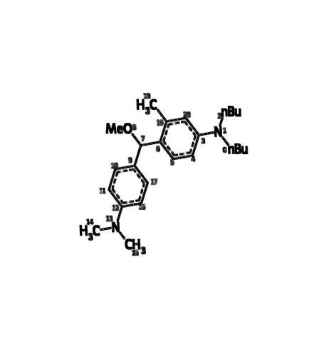 CCCCN(CCCC)c1ccc(C(OC)c2ccc(N(C)C)cc2)c(C)c1